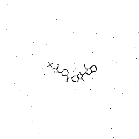 CCn1c(-c2nc3cc(C(=O)N4CCCC(NC(=O)OC(C)(C)C)C4)ccc3n2C)cc2ccccc21